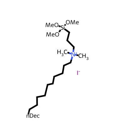 CCCCCCCCCCCCCCCCCCCC[N+](C)(C)CCC[Si](OC)(OC)OC.[I-]